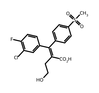 CS(=O)(=O)c1ccc(/C(=C(/CCO)C(=O)O)c2ccc(F)c(Cl)c2)cc1